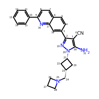 N#Cc1c(-c2ccc3ccc(-c4ccccc4)nc3c2)nn([C@H]2C[C@@H](CN3CCC3)C2)c1N